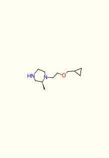 C[C@H]1CNCCN1CCOCC1CC1